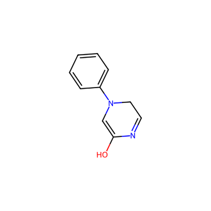 OC1=CN(c2ccccc2)CC=N1